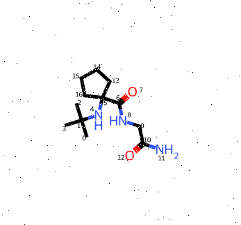 CC(C)(C)NC1(C(=O)NCC(N)=O)CCCC1